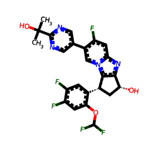 CC(C)(O)c1ncc(-c2cn3c4c(nc3cc2F)[C@H](O)C[C@@H]4c2cc(F)c(F)cc2OC(F)F)cn1